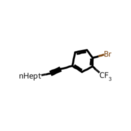 CCCCCCCC#Cc1ccc(Br)c(C(F)(F)F)c1